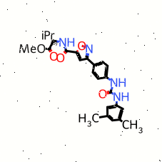 COC(=O)[C@@H](NC(=O)c1cc(-c2ccc(NC(=O)Nc3cc(C)cc(C)c3)cc2)no1)C(C)C